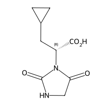 O=C(O)[C@@H](CC1CC1)N1C(=O)CNC1=O